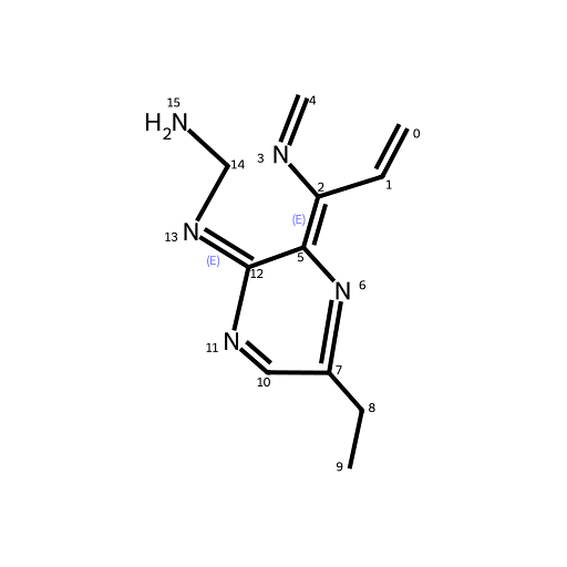 C=C/C(N=C)=C1\N=C(CC)C=N\C1=N\CN